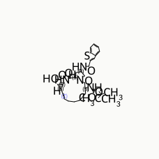 CC(C)(C)OC(=O)N[C@H]1CCCCC/C=C\[C@@H]2C[C@@]2(C(=O)O)NC(=O)[C@@H]2C[C@@H](NC(=O)c3cc4ccccc4s3)CN2C1=O